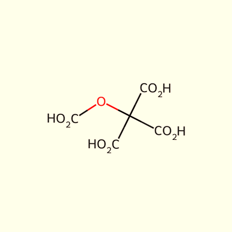 O=C(O)OC(C(=O)O)(C(=O)O)C(=O)O